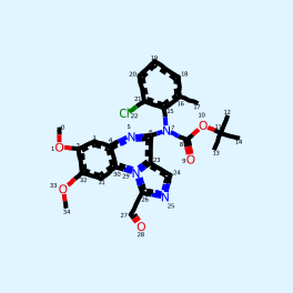 COc1cc2nc(N(C(=O)OC(C)(C)C)c3c(C)cccc3Cl)c3cnc(C=O)n3c2cc1OC